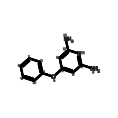 Nc1cc(Oc2ccccc2)cc(N)n1